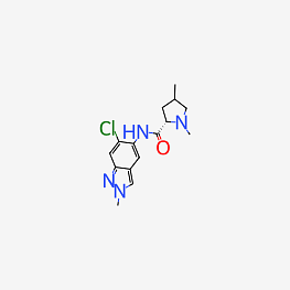 CC1C[C@@H](C(=O)Nc2cc3cn(C)nc3cc2Cl)N(C)C1